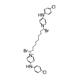 Clc1ccc(Nc2cc[n+](C(Br)CCCCCCCCC(Br)[n+]3ccc(Nc4ccc(Cl)cc4)cc3)cc2)cc1